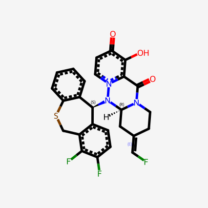 O=C1c2c(O)c(=O)ccn2N([C@@H]2c3ccccc3SCc3c2ccc(F)c3F)[C@@H]2C/C(=C/F)CCN12